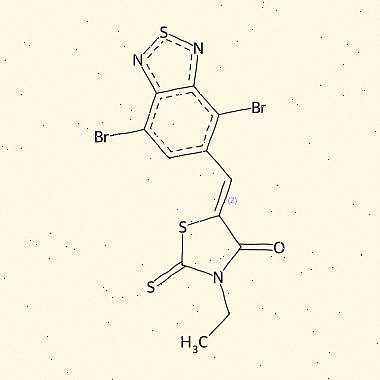 CCN1C(=O)/C(=C/c2cc(Br)c3nsnc3c2Br)SC1=S